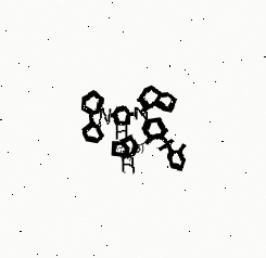 Cc1ccccc1C(C)(C)c1ccc(N(c2ccc(-n3c4ccccc4c4ccccc43)cc2)c2cccc3ccccc23)cc1C[C@@H]1C[C@@H]2CC[C@@H](C2)C1